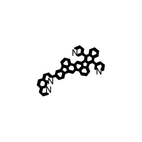 c1cncc(-c2c3ccccc3c(-c3cccnc3)c3c4cc5c(cc6c7ccc(-c8ccc9ccc%10cccnc%10c9n8)cc7c7cccc5c76)c5cccc(c23)c54)c1